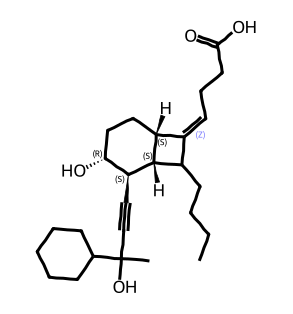 CCCCC1/C(=C/CCC(=O)O)[C@H]2CC[C@@H](O)[C@H](C#CC(C)(O)C3CCCCC3)[C@@H]12